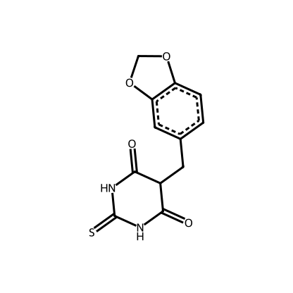 O=C1NC(=S)NC(=O)C1Cc1ccc2c(c1)OCO2